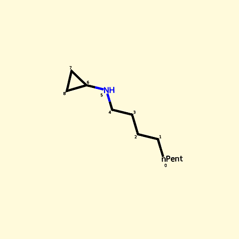 CCCCCCCCCNC1CC1